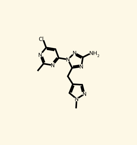 Cc1nc(Cl)cc(-n2nc(N)nc2Cc2cnn(C)c2)n1